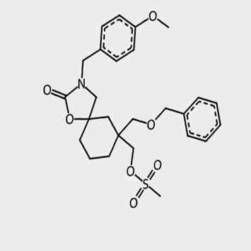 COc1ccc(CN2CC3(CCCC(COCc4ccccc4)(COS(C)(=O)=O)C3)OC2=O)cc1